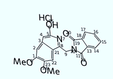 COc1cc2cc(O)nc(CN3C(=O)c4ccccc4C3=O)c2cc1OC.Cl